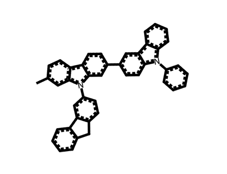 Cc1ccc2c3ccc(-c4ccc5c(c4)c4ccccc4n5-c4ccccc4)cc3n(-c3ccc4c(c3)-c3ccccc3C4)c2c1